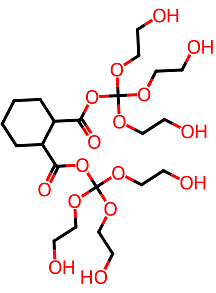 O=C(OC(OCCO)(OCCO)OCCO)C1CCCCC1C(=O)OC(OCCO)(OCCO)OCCO